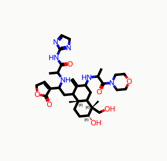 C=C1C(NC(C)C(=O)N2CCOCC2)CC2[C@](C)(CC[C@@H](O)[C@@]2(C)CO)C1CC(NC(C)C(=O)NC1=NCC=N1)C1=CCOC1=O